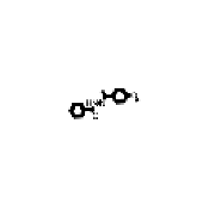 COc1ccc(C(C)=NNC(=O)c2ccccc2)cc1